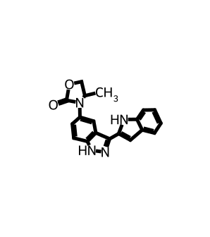 CC1COC(=O)N1c1ccc2[nH]nc(-c3cc4ccccc4[nH]3)c2c1